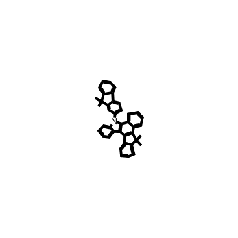 CC1(C)c2ccccc2-c2ccc(-n3c4ccccc4c4c5c(c6ccccc6c43)C(C)(C)c3ccccc3-5)cc21